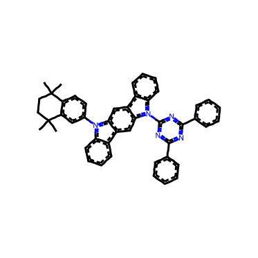 CC1(C)CCC(C)(C)c2cc(-n3c4ccccc4c4cc5c(cc43)c3ccccc3n5-c3nc(-c4ccccc4)nc(-c4ccccc4)n3)ccc21